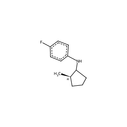 C[C@@H]1CCCC1Nc1ccc(F)cc1